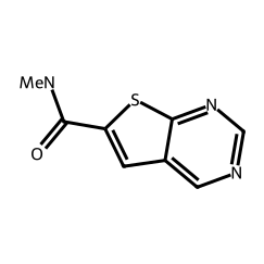 CNC(=O)c1cc2cncnc2s1